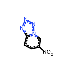 O=[N+]([O-])c1ccc2nnnn2c1